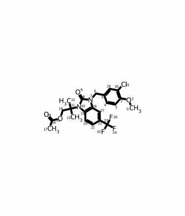 COc1ccc(Cn2c(=O)n(C(C)(C)COC(C)=O)c3ccc(C(F)(F)F)cc32)cc1Cl